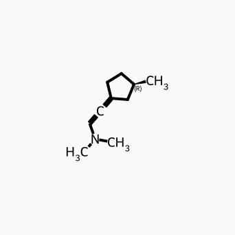 C[C@@H]1CCC(=C=CN(C)C)C1